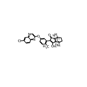 Cc1ccc(Oc2cnc3cc(Cl)ccc3n2)cc1C1=C(O)[C@H]2[C@@H](C1=O)[C@@H]1CC[C@H]2O1